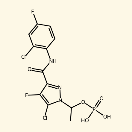 CC(OP(=O)(O)O)n1nc(C(=O)Nc2ccc(F)cc2Cl)c(F)c1Cl